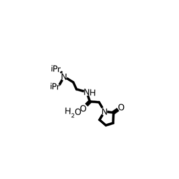 CC(C)N(CCNC(=O)CN1CCCC1=O)C(C)C.O